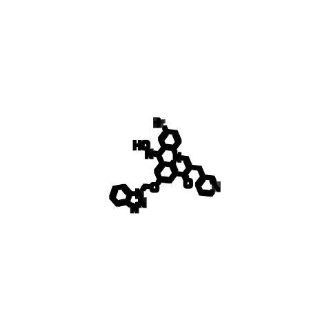 O=c1c(Cc2cccnc2)cn2c3ccc(Br)cc3c(=NO)c3cc(OCn4nnc5ccccc54)cc1c32